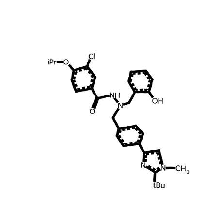 CC(C)Oc1ccc(C(=O)NN(Cc2ccc(-c3cn(C)c(C(C)(C)C)n3)cc2)Cc2ccccc2O)cc1Cl